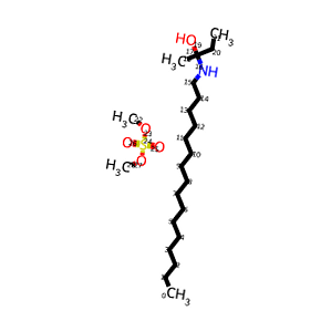 CCCCCCCCCCCCCCCCNC(C)(O)CC.COS(=O)(=O)OC